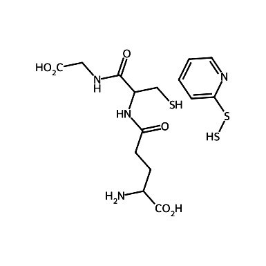 NC(CCC(=O)NC(CS)C(=O)NCC(=O)O)C(=O)O.SSc1ccccn1